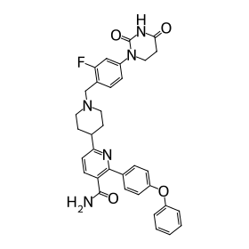 NC(=O)c1ccc(C2CCN(Cc3ccc(N4CCC(=O)NC4=O)cc3F)CC2)nc1-c1ccc(Oc2ccccc2)cc1